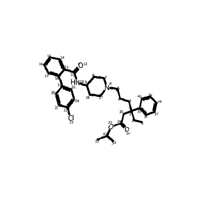 CCC(CCCN1CCC(NC(=O)c2ccccc2-c2ccc(Cl)cc2)CC1)(CC(=O)OC(C)C)c1ccccc1